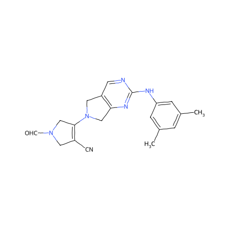 Cc1cc(C)cc(Nc2ncc3c(n2)CN(C2=C(C#N)CN(C=O)C2)C3)c1